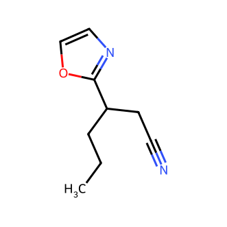 CCCC(CC#N)c1ncco1